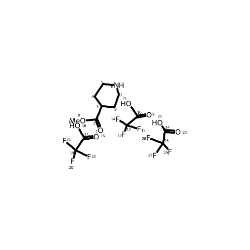 COC(=O)C1CCNCC1.O=C(O)C(F)(F)F.O=C(O)C(F)(F)F.O=C(O)C(F)(F)F